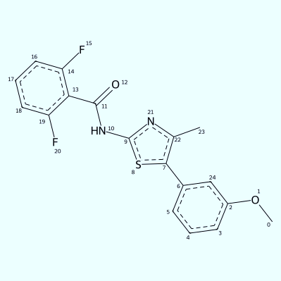 COc1cccc(-c2sc(NC(=O)c3c(F)cccc3F)nc2C)c1